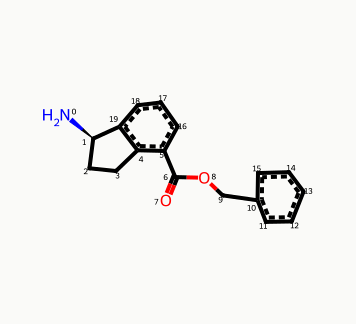 N[C@@H]1CCc2c(C(=O)OCc3ccccc3)cccc21